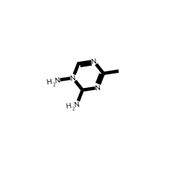 CC1=NC(N)N(N)C=N1